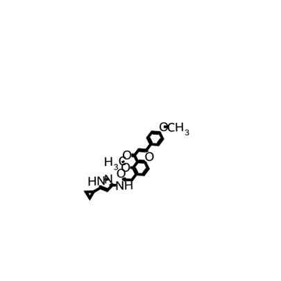 COc1ccc(-c2cc(=O)c3c(OC)c(CC(=O)Nc4cc(C5CC5)[nH]n4)ccc3o2)cc1